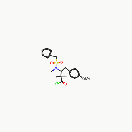 COc1ccc(CC(N(C)S(=O)(=O)Cc2ccccc2)C(C)(C)C(=O)Cl)cc1